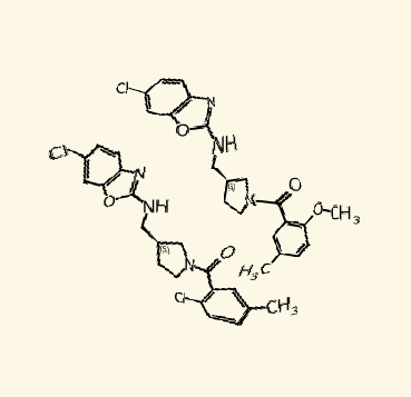 COc1ccc(C)cc1C(=O)N1CC[C@@H](CNc2nc3ccc(Cl)cc3o2)C1.Cc1ccc(Cl)c(C(=O)N2CC[C@@H](CNc3nc4ccc(Cl)cc4o3)C2)c1